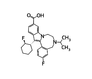 CC(C)N1CCn2c(c([C@@H]3CCCC[C@H]3F)c3ccc(C(=O)O)cc32)-c2ccc(F)cc2C1